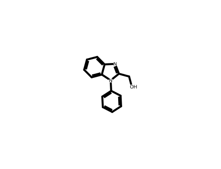 OCc1nc2ccccc2n1-c1ccccc1